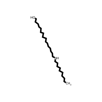 CCCCCCCCCCNCCCCCCCCCCCCCCCCO